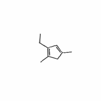 CCC1=C(C)CC(C)=C1